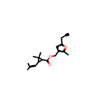 C#CCc1cc(COC(=O)C2C(C=C(C)C)C2(C)C)c(C)o1